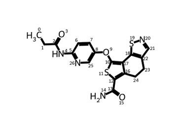 CCC(=O)Nc1ccc(Oc2sc(C(N)=O)c3c2-c2sncc2CC3)cn1